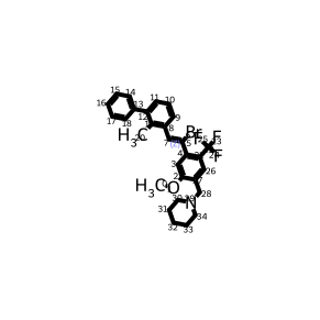 COc1cc(/C(Br)=C/c2cccc(-c3ccccc3)c2C)c(C(F)(F)F)cc1CN1CCCCC1